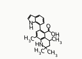 Cc1cc(-c2cccc3cc[nH]c23)c(C(=O)O)c2c1NC(C)(C)CC2C